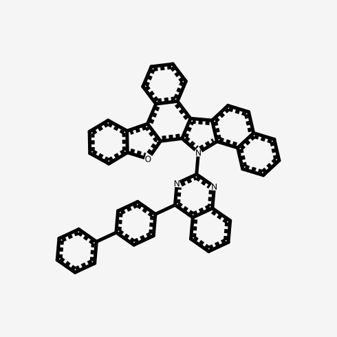 c1ccc(-c2ccc(-c3nc(-n4c5c6ccccc6ccc5c5c6ccccc6c6c7ccccc7oc6c54)nc4ccccc34)cc2)cc1